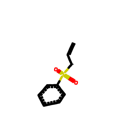 C=C[CH]S(=O)(=O)c1ccccc1